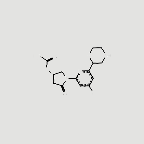 NC(=O)O[C@@H]1CC(=O)N(c2cc(Cl)cc(C3CNCCO3)n2)C1